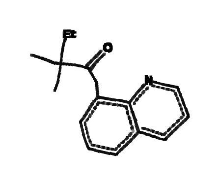 CCC(C)(C)C(=O)c1cccc2cccnc12